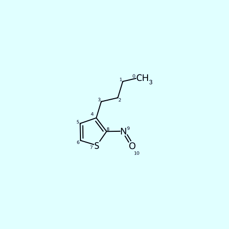 CCCCc1ccsc1N=O